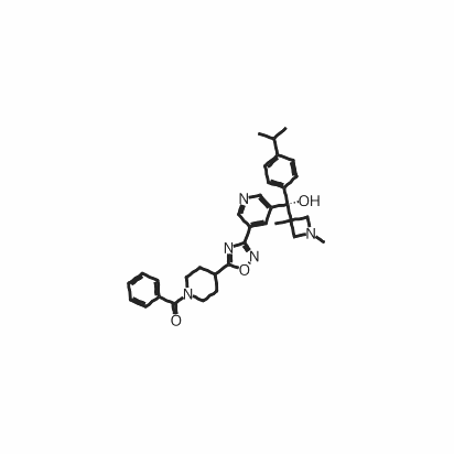 CC(C)c1ccc([C@](O)(c2cncc(-c3noc(C4CCN(C(=O)c5ccccc5)CC4)n3)c2)C2(C)CN(C)C2)cc1